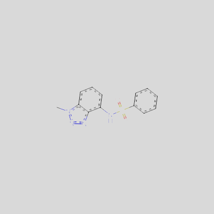 Cn1nnc2c(NS(=O)(=O)c3ccccc3)cccc21